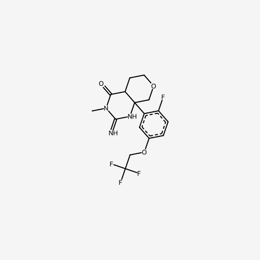 CN1C(=N)NC2(c3cc(OCC(F)(F)F)ccc3F)COCCC2C1=O